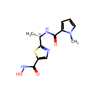 C[C@H](NC(=O)c1cccn1C)c1ncc(C(=O)NO)s1